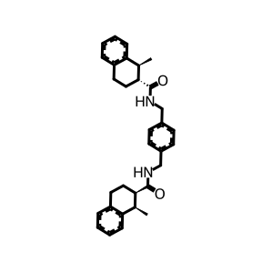 C[C@@H]1c2ccccc2CC[C@H]1C(=O)NCc1ccc(CNC(=O)[C@@H]2CCc3ccccc3[C@@H]2C)cc1